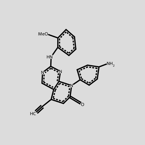 C#Cc1cc(=O)n(-c2ccc(N)cc2)c2nc(Nc3ccccc3OC)ncc12